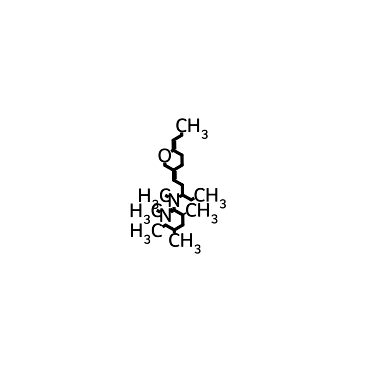 CC/C=C1\CC/C(=C\CC(CC)N(C)/C(=N\C)[C@H](C)CC(C)CC)CO1